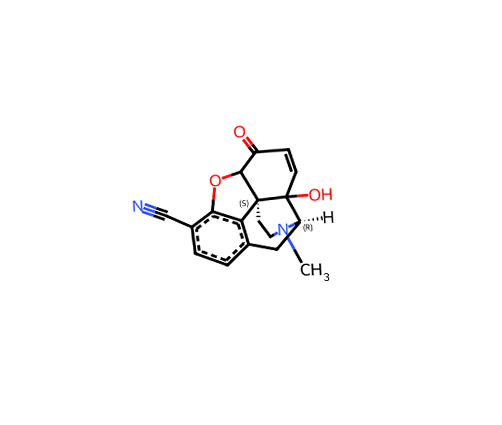 CN1CC[C@]23c4c5ccc(C#N)c4OC2C(=O)C=CC3(O)[C@H]1C5